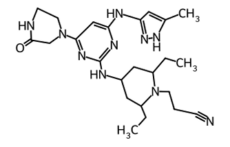 CCC1CC(Nc2nc(Nc3cc(C)[nH]n3)cc(N3CCNC(=O)C3)n2)CC(CC)N1CCC#N